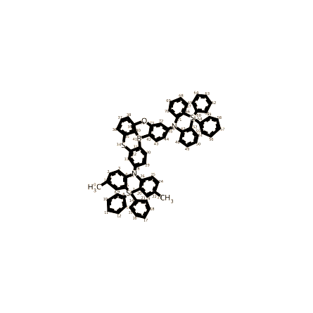 Cc1ccc2c(c1)[Si](c1ccccc1)(c1ccccc1)c1cc(C)ccc1N2c1ccc2c(c1)Sc1cccc3c1B2c1ccc(N2c4ccccc4[Si](c4ccccc4)(c4ccccc4)c4ccccc42)cc1O3